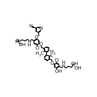 Cc1c(COc2cc(O)c(CNCCCP(O)O)cc2Cl)cccc1-c1cccc(COc2cc(OCc3cncc(C#N)c3)c(CNCCC[PH](=O)O)cc2Cl)c1C